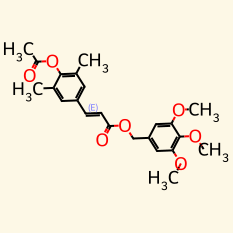 COc1cc(COC(=O)/C=C/c2cc(C)c(OC(C)=O)c(C)c2)cc(OC)c1OC